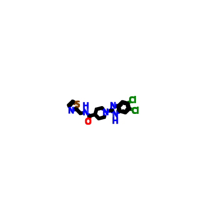 O=C(NCc1nccs1)C1CCN(c2nc3cc(Cl)c(Cl)cc3[nH]2)CC1